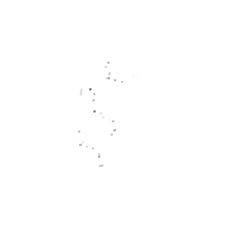 C=CC(=C)Nc1ccc(F)cc1